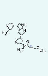 COC/C=C/C(=O)N(C)c1cncc(-c2cnc3[nH]cc(-c4ccnc(C)c4)c3c2)c1